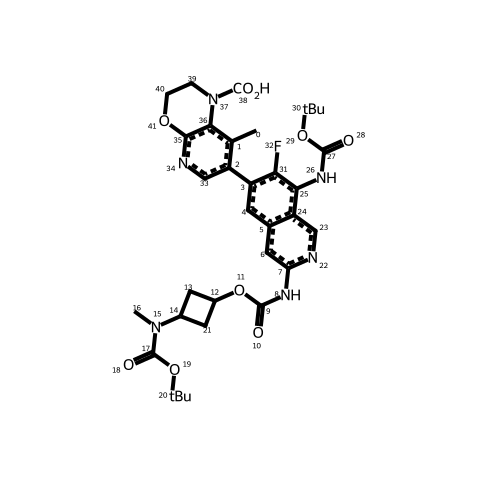 Cc1c(-c2cc3cc(NC(=O)OC4CC(N(C)C(=O)OC(C)(C)C)C4)ncc3c(NC(=O)OC(C)(C)C)c2F)cnc2c1N(C(=O)O)CCO2